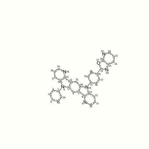 c1ccc(-n2c3cc4c5ncccc5n(-c5ccc(-c6nc7cccnc7o6)cc5)c4cc3c3ncccc32)cc1